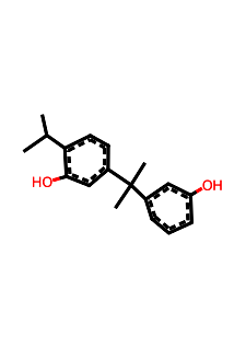 CC(C)c1ccc(C(C)(C)c2cccc(O)c2)cc1O